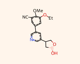 CCOc1cc(-c2cncc(C3COB(O)C3)c2)cc(C#N)c1OC